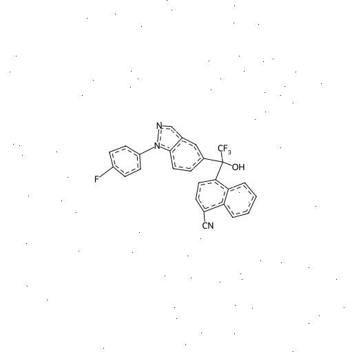 N#Cc1ccc(C(O)(c2ccc3c(cnn3-c3ccc(F)cc3)c2)C(F)(F)F)c2ccccc12